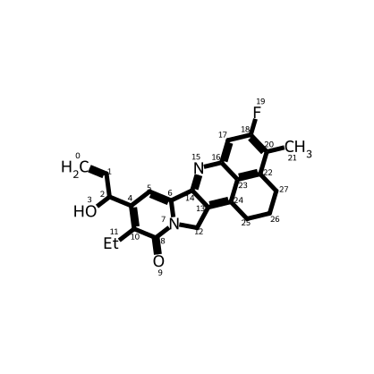 C=CC(O)c1cc2n(c(=O)c1CC)Cc1c-2nc2cc(F)c(C)c3c2c1CCC3